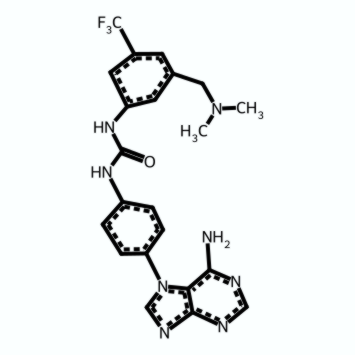 CN(C)Cc1cc(NC(=O)Nc2ccc(-n3cnc4ncnc(N)c43)cc2)cc(C(F)(F)F)c1